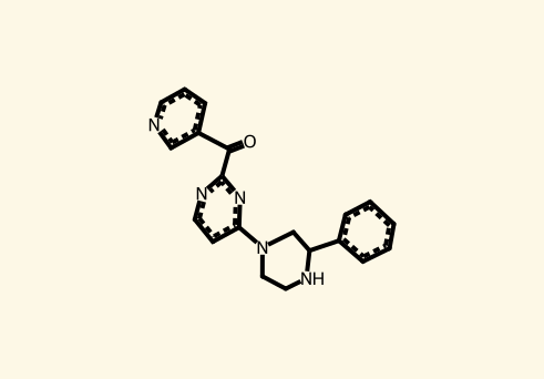 O=C(c1cccnc1)c1nccc(N2CCNC(c3ccccc3)C2)n1